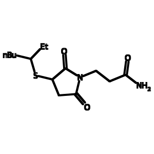 CCCCC(CC)SC1CC(=O)N(CCC(N)=O)C1=O